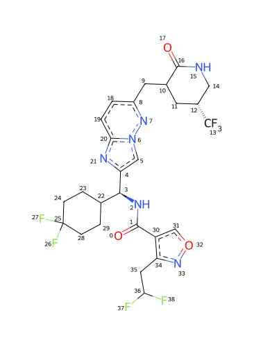 O=C(N[C@H](c1cn2nc(CC3C[C@@H](C(F)(F)F)CNC3=O)ccc2n1)C1CCC(F)(F)CC1)c1conc1CC(F)F